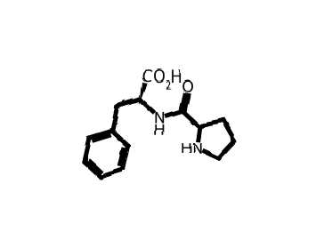 O=C(N[C@@H](Cc1ccccc1)C(=O)O)C1CCCN1